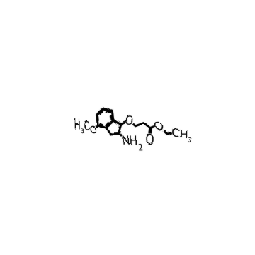 CCOC(=O)CCOC1c2cccc(OC)c2CC1N